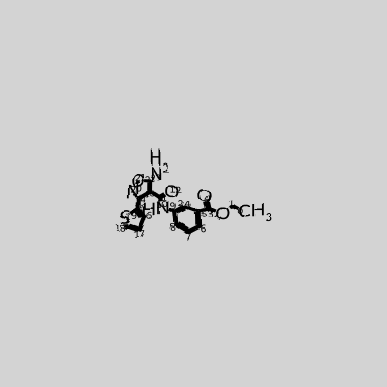 CCOC(=O)c1cccc(NC(=O)c2c(-c3cccs3)noc2N)c1